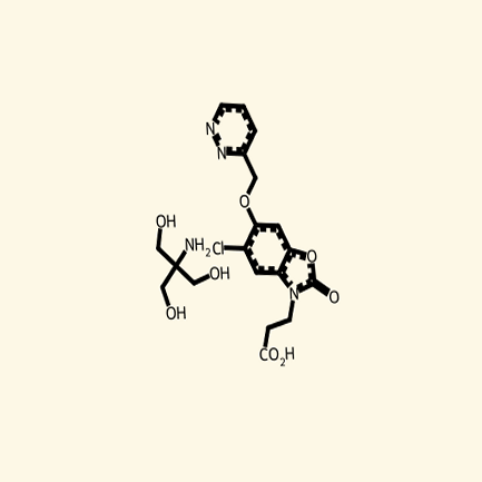 NC(CO)(CO)CO.O=C(O)CCn1c(=O)oc2cc(OCc3cccnn3)c(Cl)cc21